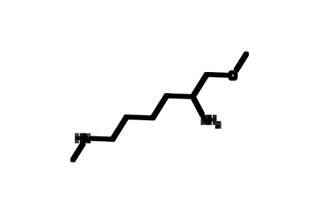 CNCCCCC(N)COC